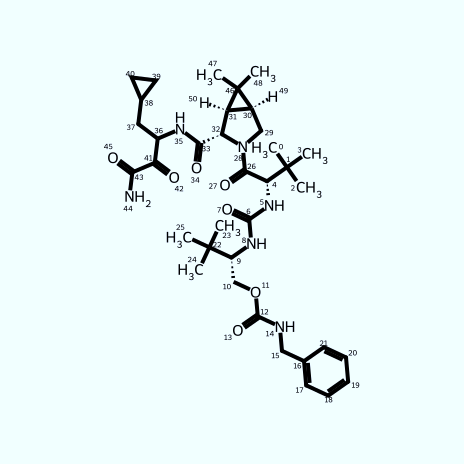 CC(C)(C)[C@H](NC(=O)N[C@H](COC(=O)NCc1ccccc1)C(C)(C)C)C(=O)N1C[C@H]2[C@@H]([C@H]1C(=O)NC(CC1CC1)C(=O)C(N)=O)C2(C)C